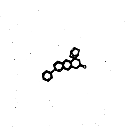 O=C1Cc2cc3cc(-c4ccccc4)ccc3cc2C2(C1)CC1=CCC2C1